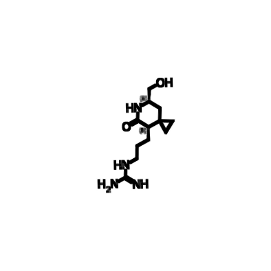 N=C(N)NCCC[C@H]1C(=O)N[C@@H](CO)CC12CC2